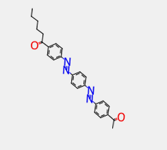 CCCCCC(=O)c1ccc(N=Nc2ccc(N=Nc3ccc(C(C)=O)cc3)cc2)cc1